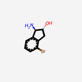 N[C@@H]1c2cccc(Br)c2C[C@H]1O